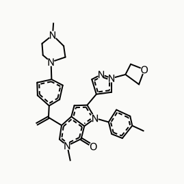 C=C(c1ccc(N2CCN(C)CC2)cc1)c1cn(C)c(=O)c2c1cc(-c1cnn(C3COC3)c1)n2-c1ccc(C)cc1